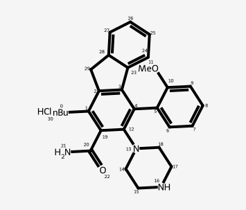 CCCCc1c2c(c(-c3ccccc3OC)c(N3CCNCC3)c1C(N)=O)-c1ccccc1C2.Cl